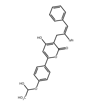 CCCC(=Cc1ccccc1)Cc1c(O)cc(-c2ccc(OC(O)C(=O)O)cc2)oc1=O